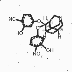 N#Cc1ccc(O[C@@]2(Oc3ccc([N+](=O)[O-])c(O)c3)[C@@H]3C[C@H]4C[C@H]2CN(C4)C3)cc1O